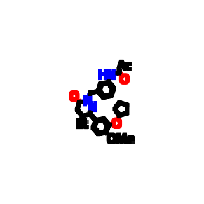 CCC1CC(=O)N(Cc2cccc(NC(=O)C(C)=O)c2)N=C1c1ccc(OC)c(OC2CCCC2)c1